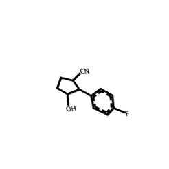 N#CC1CCC(O)C1c1ccc(F)cc1